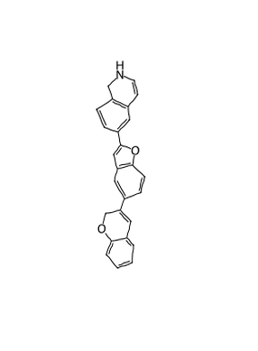 C1=Cc2cc(-c3cc4cc(C5=Cc6ccccc6OC5)ccc4o3)ccc2CN1